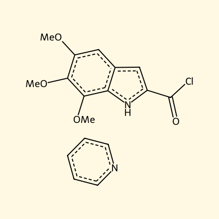 COc1cc2cc(C(=O)Cl)[nH]c2c(OC)c1OC.c1ccncc1